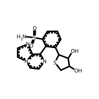 NS(=O)(=O)c1cccc(C2SCC(O)C2O)c1-c1nccn2ccnc12